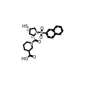 O=C(O)C1CCCN(C(=O)[C@@H]2C[C@H](S)CN2S(=O)(=O)c2ccc3ccccc3c2)C1